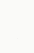 CC(S)C1CCC(O)CC1